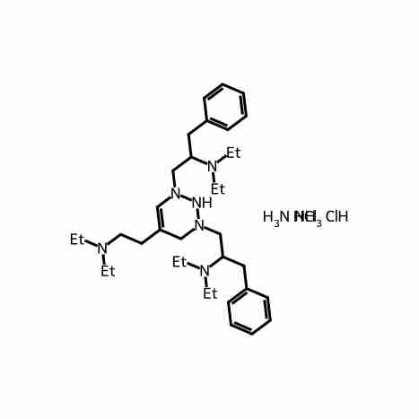 CCN(CC)CCC1=CN(CC(Cc2ccccc2)N(CC)CC)NN(CC(Cc2ccccc2)N(CC)CC)C1.Cl.Cl.N.N